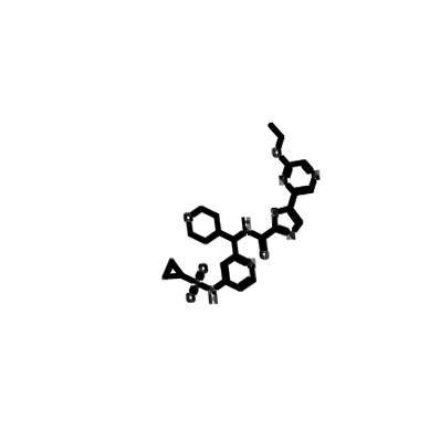 CCOc1cncc(-c2cnc(C(=O)NC(c3cc(NS(=O)(=O)C4CC4)ccn3)C3CCOCC3)s2)n1